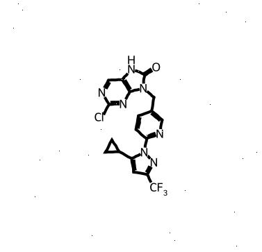 O=c1[nH]c2cnc(Cl)nc2n1Cc1ccc(-n2nc(C(F)(F)F)cc2C2CC2)nc1